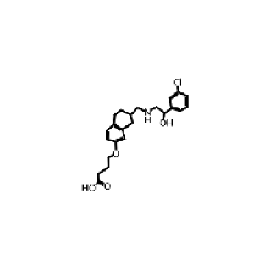 O=C(O)CCCOc1ccc2c(c1)CC(CNCC(O)c1cccc(Cl)c1)CC2